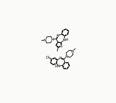 CN1CCN(C2=Nc3cc(Cl)ccc3Nc3ccccc32)CC1.Cc1cc2c(s1)Nc1ccccc1N=C2N1CCN(C)CC1